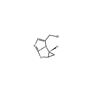 CC(C)Cc1cnc2n1[C@@H]1CC1S2